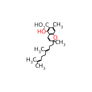 CC(C)=CCC/C(C)=C/CC[C@]1(C)C=Cc2c(cc(C)c(C(=O)O)c2O)O1